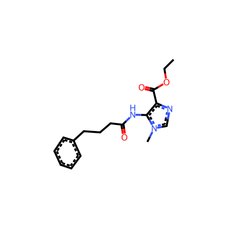 CCOC(=O)c1ncn(C)c1NC(=O)CCCc1ccccc1